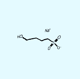 O=S(=O)([O-])CCCCO.[Na+]